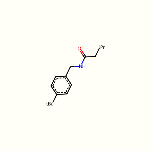 CC(C)CC(=O)NCc1ccc(C(C)(C)C)cc1